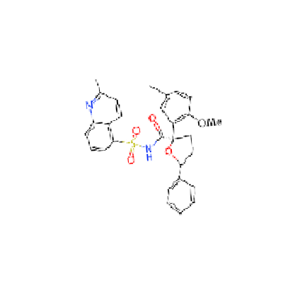 COc1ccc(C)cc1[C@@]1(C(=O)NS(=O)(=O)c2cccc3nc(C)ccc23)CCC(c2ccccc2)O1